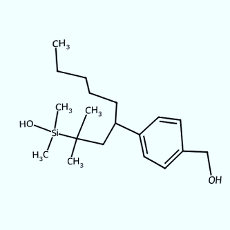 CCCCCC(CC(C)(C)[Si](C)(C)O)c1ccc(CO)cc1